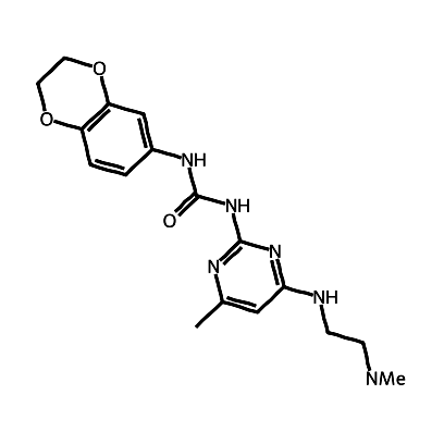 CNCCNc1cc(C)nc(NC(=O)Nc2ccc3c(c2)OCCO3)n1